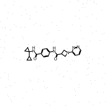 O=C(NC1(C2CC2)CC1)c1ccc(NC(=O)C2CN(c3cccnn3)C2)cc1